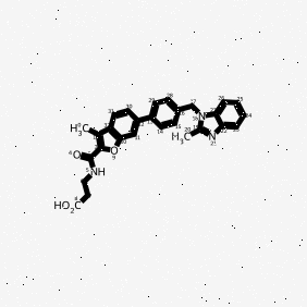 Cc1c(C(=O)NCCC(=O)O)oc2cc(-c3ccc(Cn4c(C)nc5ccccc54)cc3)ccc12